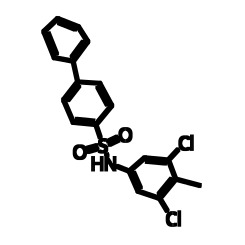 Cc1c(Cl)cc(NS(=O)(=O)c2ccc(-c3ccccc3)cc2)cc1Cl